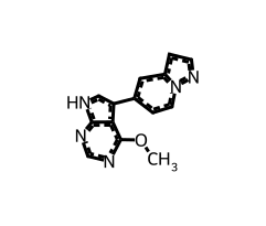 COc1ncnc2[nH]cc(-c3ccn4nccc4c3)c12